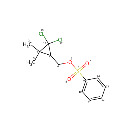 CC1(C)C(COS(=O)(=O)c2ccccc2)C1(Cl)Cl